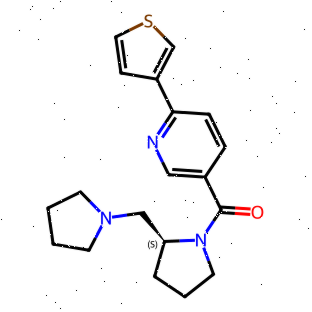 O=C(c1ccc(-c2ccsc2)nc1)N1CCC[C@H]1CN1CCCC1